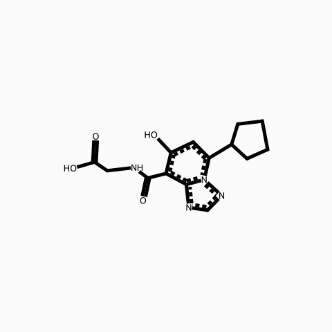 O=C(O)CNC(=O)c1c(O)cc(C2CCCC2)n2ncnc12